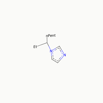 CCCCCC(CC)n1ccnc1